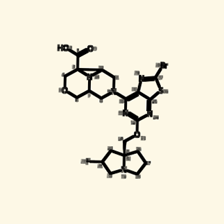 O=C(O)C12COCC3CN(c4nc(OC[C@@]56CCCN5CC(F)C6)nc5sc(Br)nc45)CC1N32